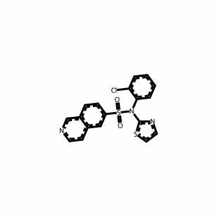 O=S(=O)(c1ccc2cnccc2c1)N(c1nccs1)c1ccccc1Cl